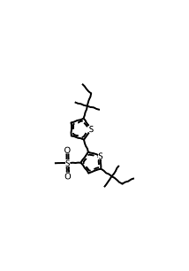 CCC(C)(C)c1ccc(-c2sc(C(C)(C)CC)cc2S(C)(=O)=O)s1